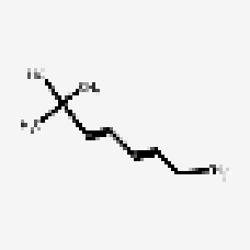 [CH2][CH]C=CC=CC(C)(C)O